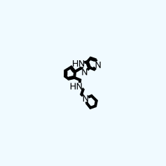 c1ccc(-c2nc3cnccc3[nH]2)c(CNCCN2CCCCC2)c1